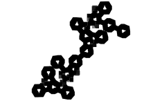 c1ccc(-c2ccc(-c3nc(-n4c5ccccc5c5cc6c7cc(-c8ccc9c(c8)sc8nc(-n%10c%11ccccc%11c%11cc%12c%13ccccc%13n%13c%14ccccc%14c(c%11%10)c%12%13)nc(-c%10ccccc%10)c89)ccc7n7c8ccccc8c(c54)c67)nc4sc5ccccc5c34)cc2)cc1